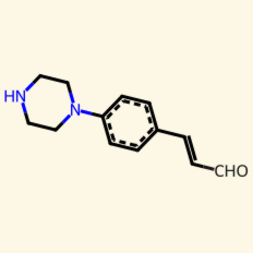 O=CC=Cc1ccc(N2CCNCC2)cc1